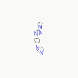 CN1CCCN(Cc2ccc(-c3cnc(N4CCCC4)cn3)cc2)CC1